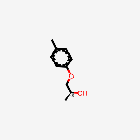 Cc1ccc(OC[C@H](C)O)cc1